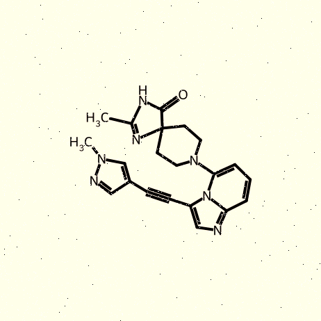 CC1=NC2(CCN(c3cccc4ncc(C#Cc5cnn(C)c5)n34)CC2)C(=O)N1